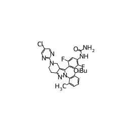 Cc1cccc(OCC(C)C)c1-n1nc2c(c1-c1cc(F)c(NC(N)=O)cc1F)CN(c1ncc(Cl)cn1)CC2